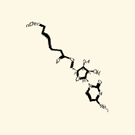 CCCCCCCCCCCCCCCC(=O)OC[C@H]1O[C@@H](n2ccc(N)nc2=O)[C@H](O)[C@@H]1O